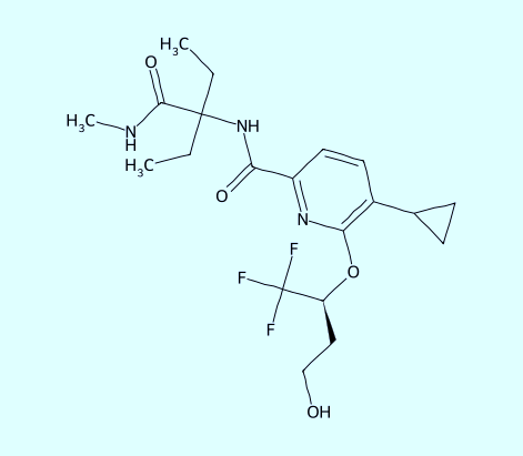 CCC(CC)(NC(=O)c1ccc(C2CC2)c(O[C@@H](CCO)C(F)(F)F)n1)C(=O)NC